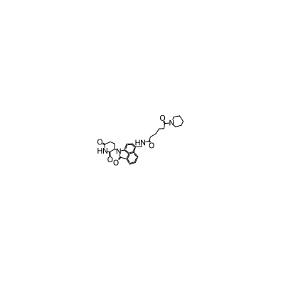 O=C(CCCCC(=O)N1CCCCC1)NCc1ccc2c3c(cccc13)C(=O)N2C1CCC(=O)NC1=O